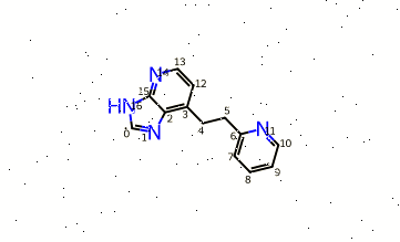 [c]1nc2c(CCc3ccccn3)ccnc2[nH]1